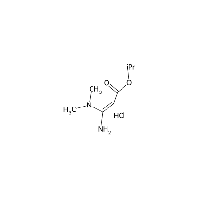 CC(C)OC(=O)/C=C(/N)N(C)C.Cl